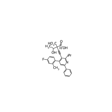 Cc1cc(F)ccc1-c1cc(-c2ccccc2)nc(C(C)C)c1C#CC(C(=O)O)(C(C)O)[PH](=O)O